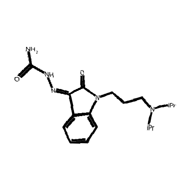 CC(C)N(CCCN1C(=O)C(=NNC(N)=O)c2ccccc21)C(C)C